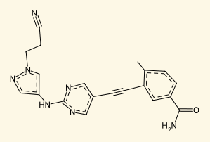 Cc1ccc(C(N)=O)cc1C#Cc1cnc(Nc2cnn(CCC#N)c2)nc1